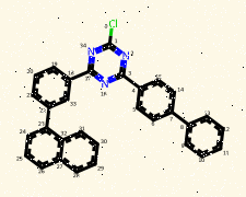 Clc1nc(-c2ccc(-c3ccccc3)cc2)nc(-c2cccc(-c3cccc4ccccc34)c2)n1